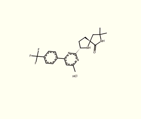 Cc1cc(-c2ccc(C(F)(F)F)cc2)nc([C@@H]2CC[C@]3(CC(C)(C)NC3=O)N2)n1.Cl